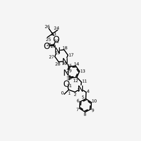 CC1CN(Cc2ccccc2)Cc2ccc(N3CCN(C(=O)OC(C)(C)C)CC3)nc2O1